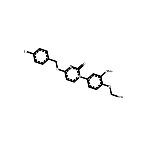 CCc1ccc(COc2ccn(-c3ccc(OCC(C)(C)C)c(OC)c3)c(=O)n2)cc1